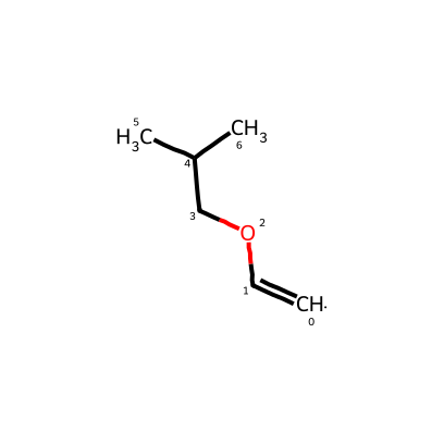 [CH]=COCC(C)C